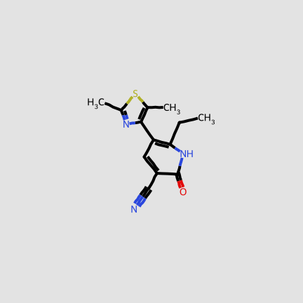 CCc1[nH]c(=O)c(C#N)cc1-c1nc(C)sc1C